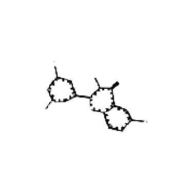 O=C(O)c1c(-c2cc(F)cc(F)c2)oc2ccc(Br)cc2c1=O